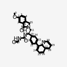 COc1ccc2c(c1)C(=O)N(C[C@H](NC(=O)NC=O)c1ccc(-c3cccc4cccnc34)cc1)C2